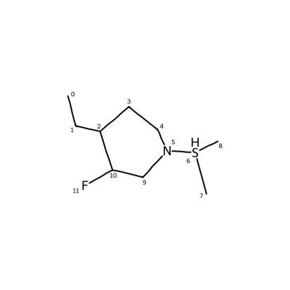 CCC1CCN([SH](C)C)CC1F